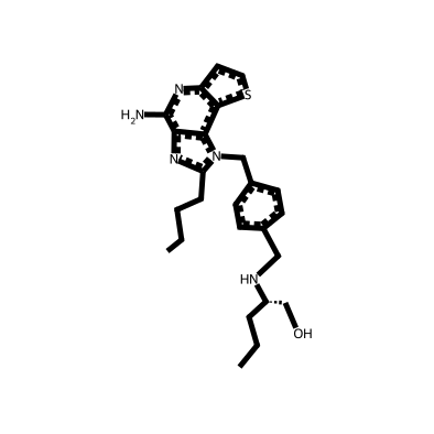 CCCCc1nc2c(N)nc3ccsc3c2n1Cc1ccc(CN[C@H](CO)CCC)cc1